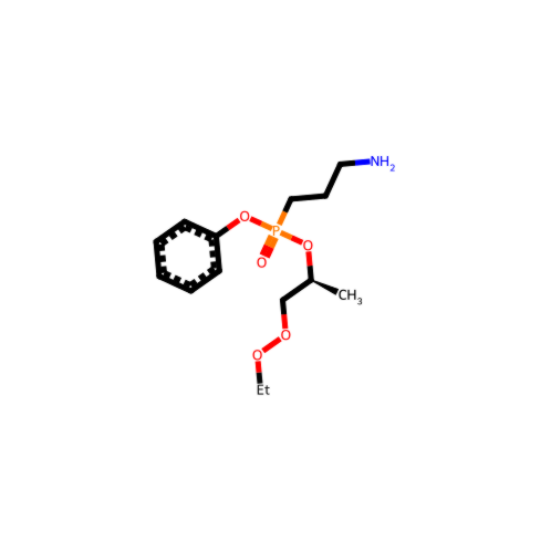 CCOOC[C@H](C)OP(=O)(CCCN)Oc1ccccc1